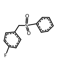 O=S(=O)(Cc1ccc(F)cc1)c1ccccc1